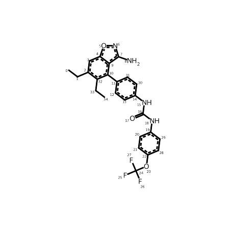 CCc1cc2onc(N)c2c(-c2ccc(NC(=O)Nc3ccc(OC(F)(F)F)cc3)cc2)c1CC